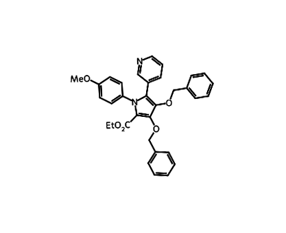 CCOC(=O)c1c(OCc2ccccc2)c(OCc2ccccc2)c(-c2cccnc2)n1-c1ccc(OC)cc1